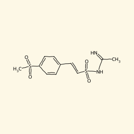 CC(=N)NS(=O)(=O)/C=C/c1ccc(S(C)(=O)=O)cc1